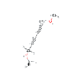 C[SiH](C)O[Si](C)(C)C#CC#C[SiH2]O[SiH3]